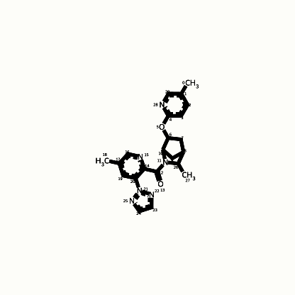 Cc1ccc(OC2CC3CC2N(C(=O)c2ncc(C)cc2-n2nccn2)C3C)nc1